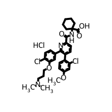 COc1ccc(-c2ccc(C(=O)NC3(C(=O)O)CCCCC3)nc2-c2ccc(Cl)c(OCCCN(C)C)c2)c(Cl)c1.Cl